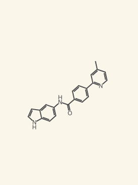 Cc1ccnc(-c2ccc(C(=O)Nc3ccc4[nH]ccc4c3)cc2)c1